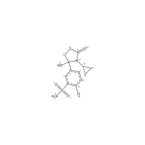 NS(=O)(=O)c1cc(C2(O)CCC(=O)N2C2CC2)ccc1Cl